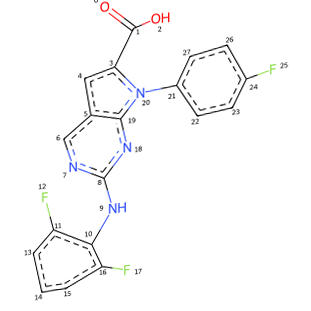 O=C(O)c1cc2cnc(Nc3c(F)cccc3F)nc2n1-c1ccc(F)cc1